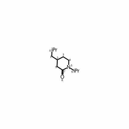 CC(C)CC1CCN(C(C)C)C(=O)C1